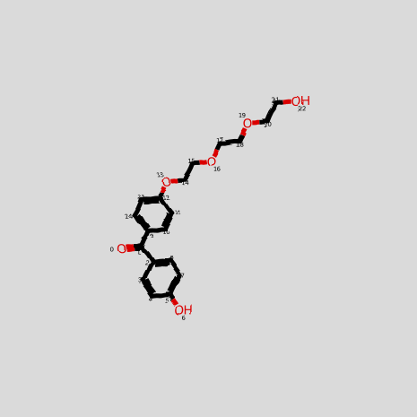 O=C(c1ccc(O)cc1)c1ccc(OCCOCCOCCO)cc1